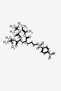 C/C=C(\C)OC(=O)[C@@H](CCCOS(=O)(=O)c1ccc([N+](=O)[O-])cc1)C[C@H](NC(=O)OC(C)(C)C)C(=O)OC(C)(C)C